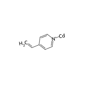 C=Cc1cc[n+]([Cd])cc1